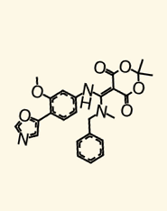 COc1cc(NC(=C2C(=O)OC(C)(C)OC2=O)N(C)Cc2ccccc2)ccc1-c1cnco1